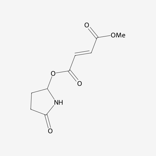 COC(=O)/C=C/C(=O)OC1CCC(=O)N1